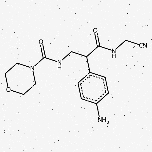 N#CCNC(=O)C(CNC(=O)N1CCOCC1)c1ccc(N)cc1